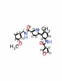 COc1cccc(CNC(=O)c2ccc(-c3cc(NC(=O)c4ccoc4)ccc3C)nc2)c1